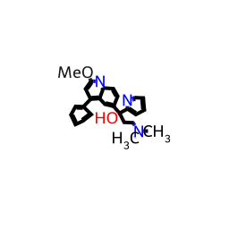 COc1cc(-c2ccccc2)c2cc(C(O)(CCN(C)C)c3ccccn3)ccc2n1